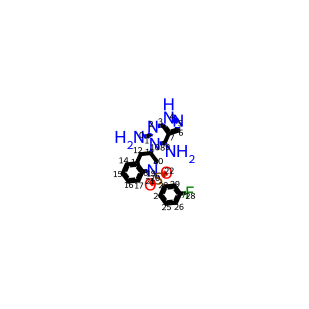 NC1=Nc2[nH]ncc2C(N)N1C1Cc2ccccc2N(S(=O)(=O)c2cccc(F)c2)C1